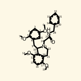 COc1ccc(OC)c(CC2c3c(OC)ccc(OC)c3CCN2CC(=O)NCc2ccccc2)c1